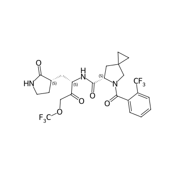 O=C1NCC[C@H]1C[C@H](NC(=O)[C@@H]1CC2(CC2)CN1C(=O)c1ccccc1C(F)(F)F)C(=O)COC(F)(F)F